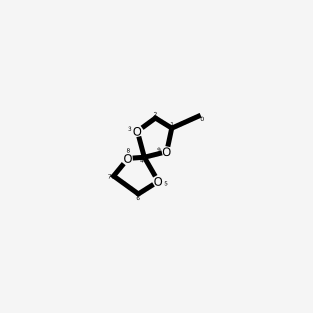 CC1COC2(OCCO2)O1